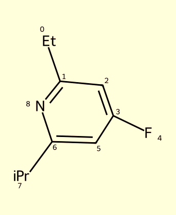 CCc1cc(F)cc(C(C)C)n1